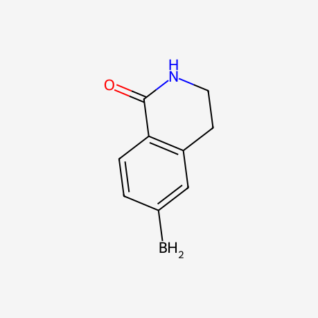 Bc1ccc2c(c1)CCNC2=O